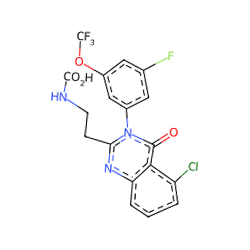 O=C(O)NCCc1nc2cccc(Cl)c2c(=O)n1-c1cc(F)cc(OC(F)(F)F)c1